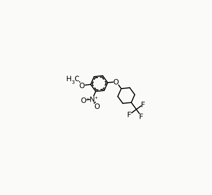 COc1ccc(OC2CCC(C(F)(F)F)CC2)cc1[N+](=O)[O-]